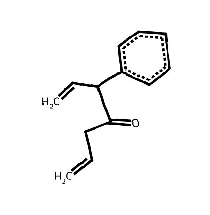 C=CCC(=O)[C](C=C)c1ccccc1